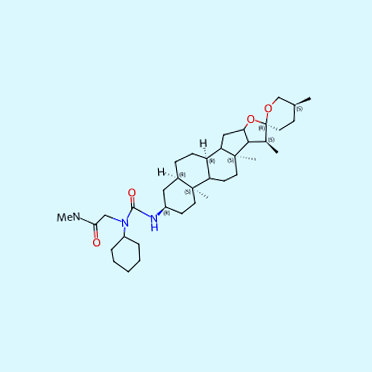 CNC(=O)CN(C(=O)N[C@@H]1CC[C@]2(C)C3CC[C@@]4(C)C(CC5O[C@]6(CC[C@H](C)CO6)[C@@H](C)C54)[C@@H]3CC[C@@H]2C1)C1CCCCC1